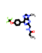 C=CC(=O)NCc1nc(-c2ccc(OC(F)(F)F)cc2)c2ncn(C)c2n1